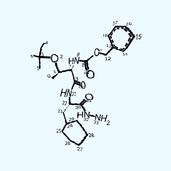 C[C@@H](OC(C)(C)C)[C@H](NC(=O)OCc1ccccc1)C(=O)N[C@@H](CC1CCCCC1)C(=O)NN